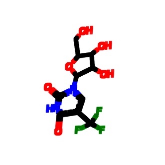 O=c1[nH]c(=O)n(C2OC(CO)C(O)C2O)cc1C(F)(F)F